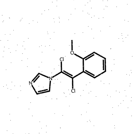 COc1ccccc1C(Cl)=C(Cl)n1ccnc1